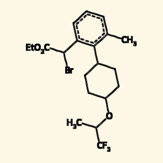 CCOC(=O)C(Br)c1cccc(C)c1C1CCC(OC(C)C(F)(F)F)CC1